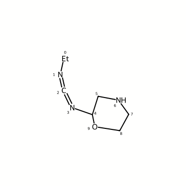 CCN=C=NC1CNCCO1